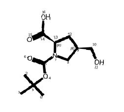 CC(C)(C)OC(=O)N1C[C@H](CO)C[C@@H]1C(=O)O